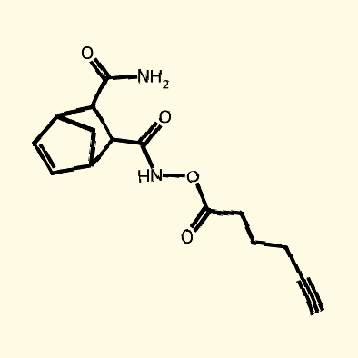 C#CCCCC(=O)ONC(=O)C1C2C=CC(C2)C1C(N)=O